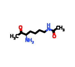 CC(=O)NCCCC[C@H](N)C(C)=O